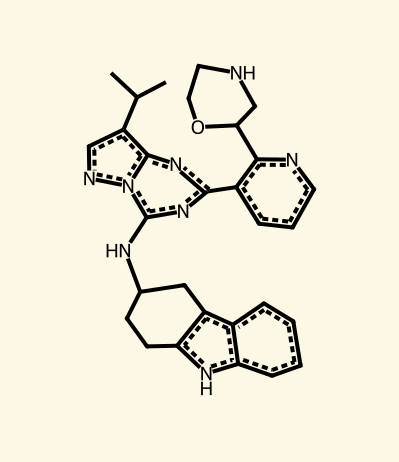 CC(C)c1cnn2c(NC3CCc4[nH]c5ccccc5c4C3)nc(-c3cccnc3C3CNCCO3)nc12